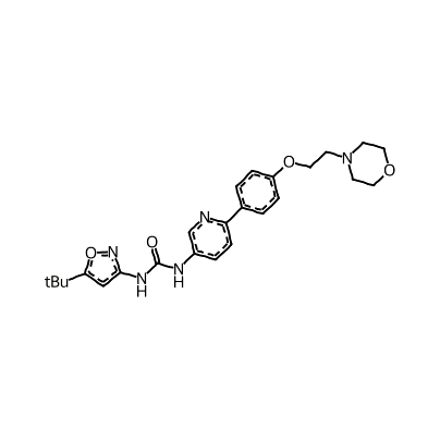 CC(C)(C)c1cc(NC(=O)Nc2ccc(-c3ccc(OCCN4CCOCC4)cc3)nc2)no1